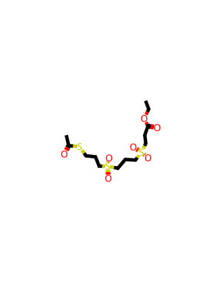 CCOC(=O)CCS(=O)(=O)CCCS(=O)(=O)CCCSC(C)=O